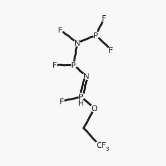 FN(P(F)F)P(F)/N=[PH](\F)OCC(F)(F)F